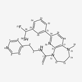 C=C(NCCc1ccncc1)N1CCCN(C)c2ccc(-c3cccc(C(F)S)c3)nc21